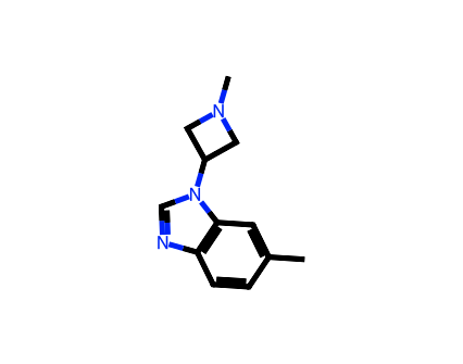 Cc1ccc2ncn(C3CN(C)C3)c2c1